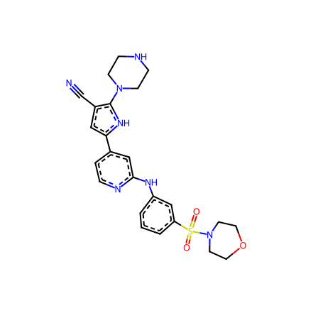 N#Cc1cc(-c2ccnc(Nc3cccc(S(=O)(=O)N4CCOCC4)c3)c2)[nH]c1N1CCNCC1